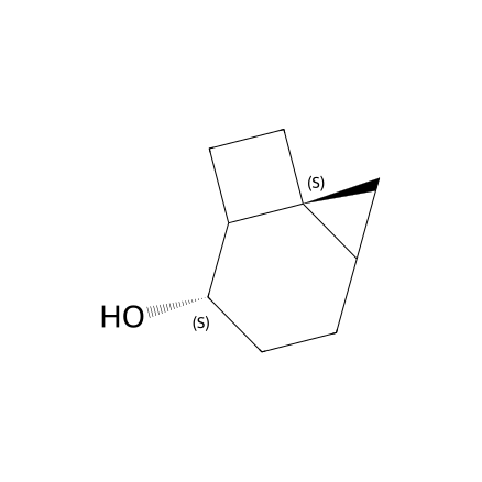 O[C@H]1CCC2C[C@@]23CCC13